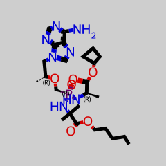 CCCCCOC(=O)C(C)(C)N[P@@](=O)(CO[C@H](C)Cn1cnc2c(N)ncnc21)N[C@H](C)C(=O)OC1CCC1